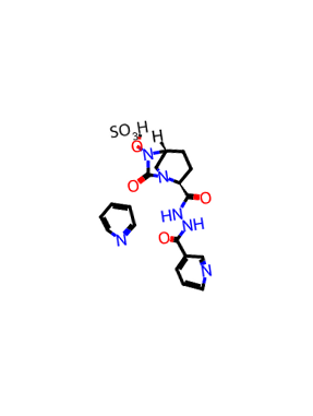 O=C(NNC(=O)[C@@H]1CC[C@@H]2CN1C(=O)N2OS(=O)(=O)O)c1cccnc1.c1ccncc1